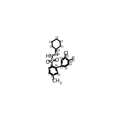 Cc1ccc(S(=O)(=O)NN=C2CCCCC2)c(-c2ccc(F)c(Cl)c2)c1